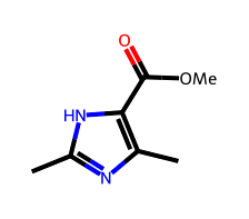 COC(=O)c1[nH]c(C)nc1C